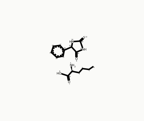 CCCC[C@H](N)C(=O)O.O=C1NC(=S)NC1c1ccccc1